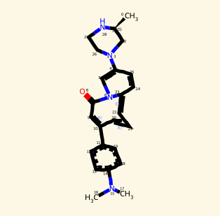 C[C@H]1CN(C2=CN3C(=O)\C=C(c4ccc(N(C)C)cc4)/C=C/C=C/3C=C2)CCN1